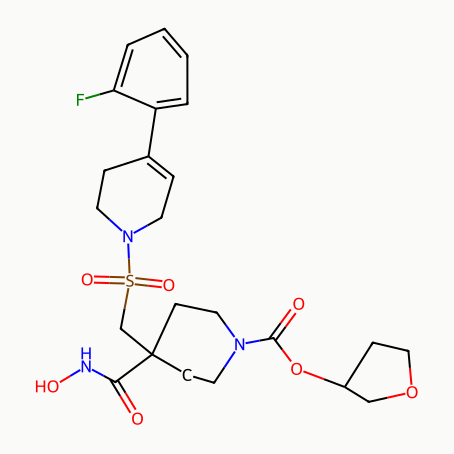 O=C(OC1CCOC1)N1CCC(CS(=O)(=O)N2CC=C(c3ccccc3F)CC2)(C(=O)NO)CC1